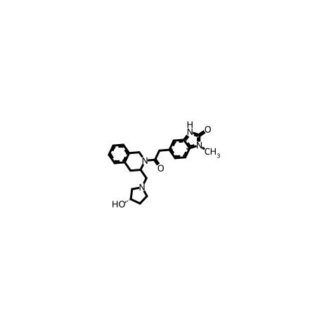 Cn1c(=O)[nH]c2cc(CC(=O)N3Cc4ccccc4CC3CN3CC[C@H](O)C3)ccc21